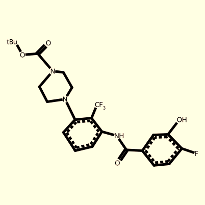 CC(C)(C)OC(=O)N1CCN(c2cccc(NC(=O)c3ccc(F)c(O)c3)c2C(F)(F)F)CC1